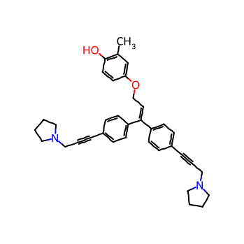 Cc1cc(OCC=C(c2ccc(C#CCN3CCCC3)cc2)c2ccc(C#CCN3CCCC3)cc2)ccc1O